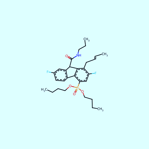 CC=CCc1c(F)cc(P(=O)(OCCCC)OCCCC)c2c1C(C(=O)NCCC)c1cc(F)ccc1-2